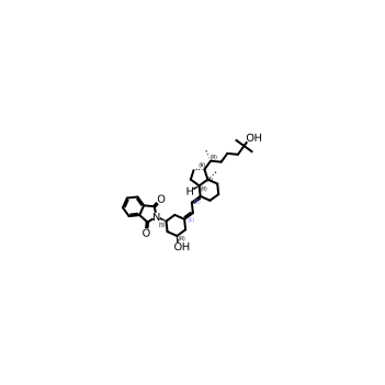 C[C@H](CCCC(C)(C)O)[C@H]1CC[C@H]2/C(=C/C=C3/C[C@@H](O)C[C@@H](N4C(=O)c5ccccc5C4=O)C3)CCC[C@]12C